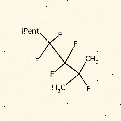 CCCC(C)C(F)(F)C(F)(F)C(C)(C)F